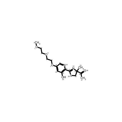 COCCOCCOc1cnc(C2=NC(C)(C(C)=O)CS2)c(O)c1